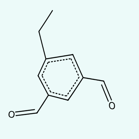 CCc1cc(C=O)cc(C=O)c1